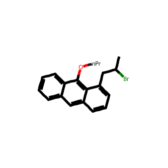 CCCOc1c2ccccc2cc2cccc(CC(C)Br)c12